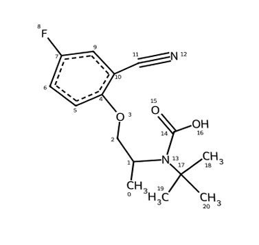 CC(COc1ccc(F)cc1C#N)N(C(=O)O)C(C)(C)C